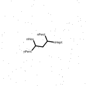 CCCCCCCC([CH]C(CCCCC)CCCCCC)CCCCC